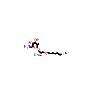 CCCCCCCCCCCCCCCCOC[C@H](CO[C@@H]1OC(CN)[C@@H](O)[C@H](O)C1C)OC